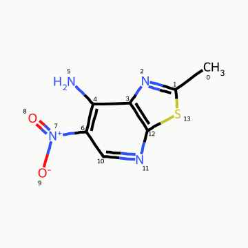 Cc1nc2c(N)c([N+](=O)[O-])cnc2s1